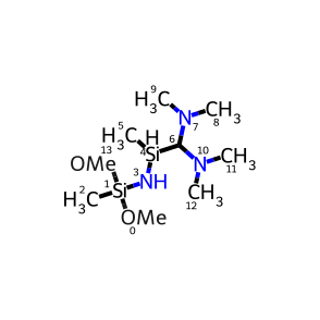 CO[Si](C)(N[SiH](C)C(N(C)C)N(C)C)OC